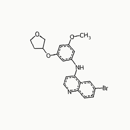 COc1cc(Nc2ccnc3ccc(Br)cc23)cc(OC2CCOC2)c1